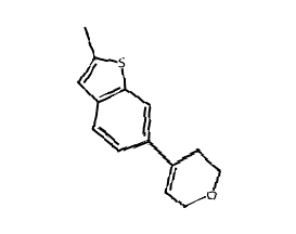 Cc1cc2ccc(C3=CCOCC3)cc2s1